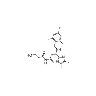 Cc1cc(F)cc(C)c1CNc1cc(NC(=O)CCO)cn2c(C)c(C)nc12